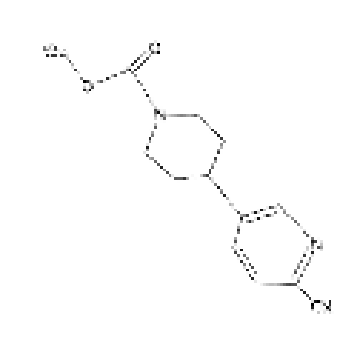 CC(C)(C)OC(=O)N1CCC(c2ccc(C#N)nc2)CC1